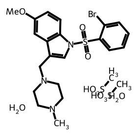 COc1ccc2c(c1)c(CN1CCN(C)CC1)cn2S(=O)(=O)c1ccccc1Br.CS(=O)(=O)O.CS(=O)(=O)O.O.O